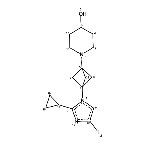 OC1CCN(C23CC(n4cc(I)nc4C4CC4)(C2)C3)CC1